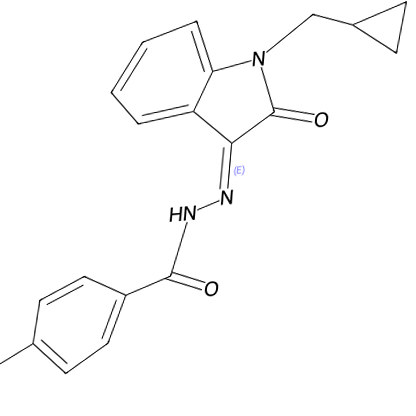 O=C(N/N=C1/C(=O)N(CC2CC2)c2ccccc21)c1ccc(F)cc1